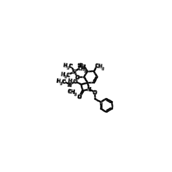 CC1C=CC2(C(O[SiH](C)C)C(=O)N2OCc2ccccc2)C(O[Si](C)(C)C)C1C(C)(C)C